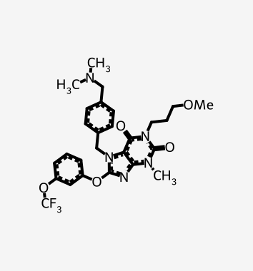 COCCCn1c(=O)c2c(nc(Oc3cccc(OC(F)(F)F)c3)n2Cc2ccc(CN(C)C)cc2)n(C)c1=O